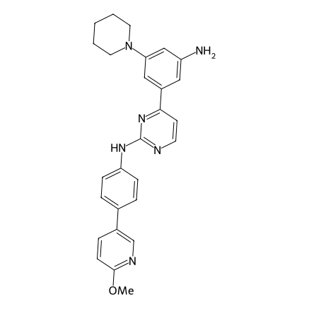 COc1ccc(-c2ccc(Nc3nccc(-c4cc(N)cc(N5CCCCC5)c4)n3)cc2)cn1